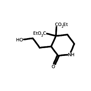 CCOC(=O)C1(C(=O)OCC)CCNC(=O)C1CCO